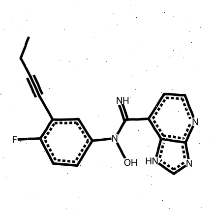 CCC#Cc1cc(N(O)C(=N)c2ccnc3nc[nH]c23)ccc1F